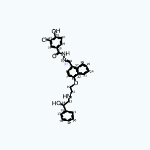 O=C(N/N=C/c1ccc(OCCNCC(O)c2ccccc2)c2ccccc12)c1ccc(O)c(Cl)c1